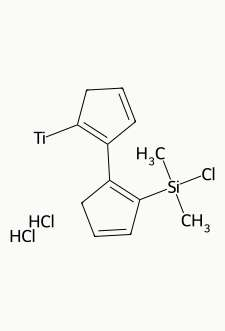 C[Si](C)(Cl)C1=C(C2=[C]([Ti])CC=C2)CC=C1.Cl.Cl